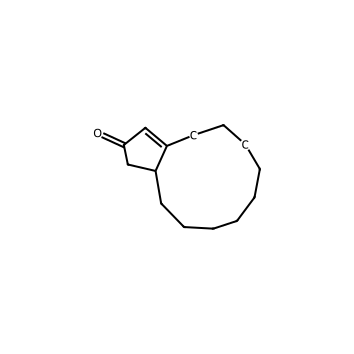 O=C1C=C2CCCCCCCCCC2C1